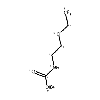 CC(C)COC(=O)NCCOCC(F)(F)F